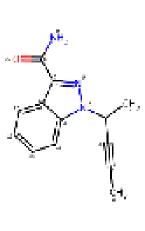 CC#CC(C)n1nc(C(N)=O)c2ccccc21